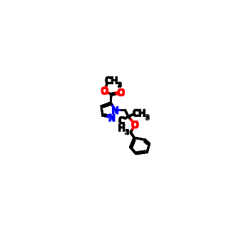 COC(=O)c1ccnn1CC(C)(C)OCc1ccccc1